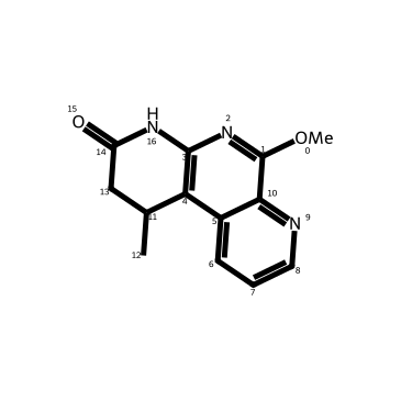 COc1nc2c(c3cccnc13)C(C)CC(=O)N2